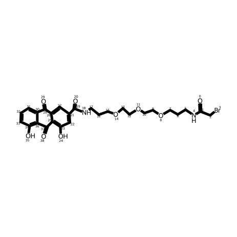 O=C(CBr)NCCCOCCOCCOCCCNC(=O)c1cc(O)c2c(c1)C(=O)c1cccc(O)c1C2=O